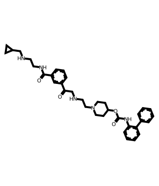 O=C(Nc1ccccc1-c1ccccc1)OC1CCN(CCNCC(=O)c2cccc(C(=O)NCCNCC3CC3)c2)CC1